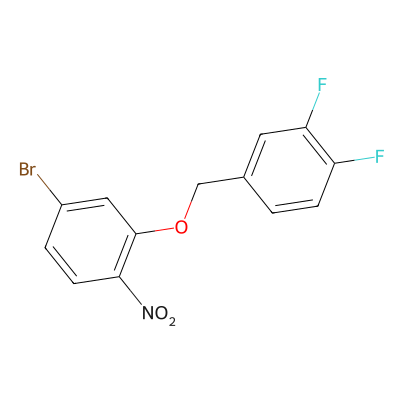 O=[N+]([O-])c1ccc(Br)cc1OCc1ccc(F)c(F)c1